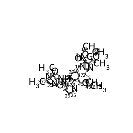 CCCc1nc(C(C)(C)OC)c(C(=O)OCC)n1Cc1ccc(-c2ncccc2S(=O)(=O)Nc2ncc(C)nc2OC)c(COCC)c1